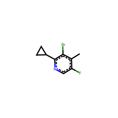 Cc1c(F)cnc(C2CC2)c1Br